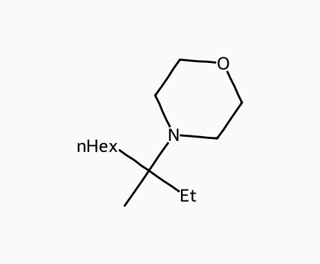 CCCCCCC(C)(CC)N1CCOCC1